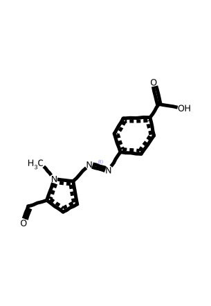 Cn1c(C=O)ccc1/N=N/c1ccc(C(=O)O)cc1